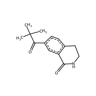 CC(C)(C)C(=O)c1ccc2c(c1)C(=O)NCC2